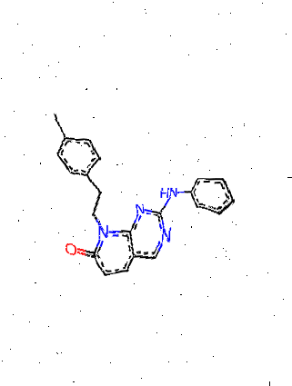 Cc1ccc(CCn2c(=O)ccc3cnc(Nc4ccccc4)nc32)cc1